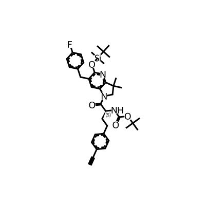 C#Cc1ccc(CC[C@H](NC(=O)OC(C)(C)C)C(=O)N2CC(C)(C)c3nc(O[Si](C)(C)C(C)(C)C)c(Cc4ccc(F)cc4)cc32)cc1